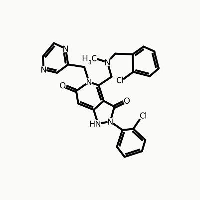 CN(Cc1ccccc1Cl)Cc1c2c(=O)n(-c3ccccc3Cl)[nH]c2cc(=O)n1Cc1cnccn1